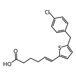 O=C(O)CCCC=Cc1ccc(Cc2ccc(Cl)cc2)s1